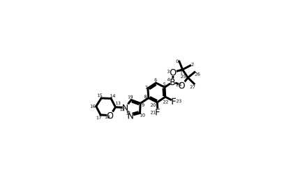 CC1(C)OB(c2ccc(-c3cnn(C4CCCCO4)c3)c(F)c2F)OC1(C)C